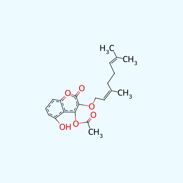 CC(=O)Oc1c(OCC=C(C)CCC=C(C)C)c(=O)oc2cccc(O)c12